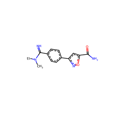 CCN(C)C(=N)c1ccc(-c2cc(C(N)=O)on2)cc1